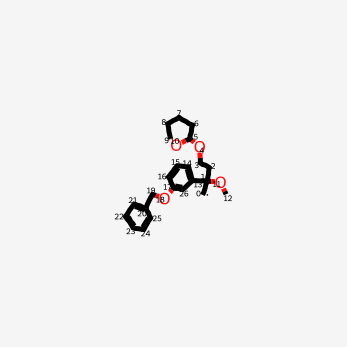 [CH2]C(CCOC1CCCCO1)(OC)c1cccc(OCc2ccccc2)c1